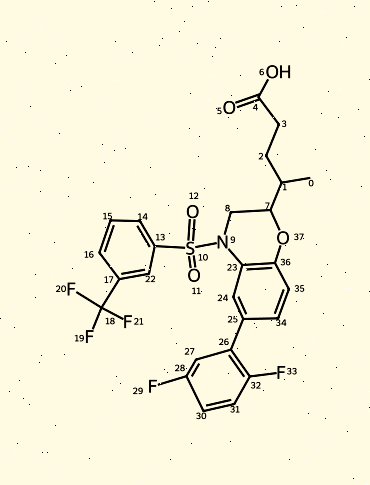 CC(CCC(=O)O)C1CN(S(=O)(=O)c2cccc(C(F)(F)F)c2)c2cc(-c3cc(F)ccc3F)ccc2O1